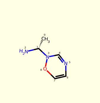 C[C@@H](N)N1C=NC=CO1